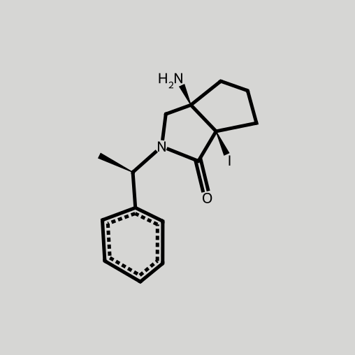 C[C@H](c1ccccc1)N1C[C@]2(N)CCC[C@]2(I)C1=O